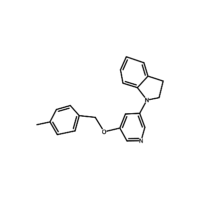 Cc1ccc(COc2cncc(N3CCc4ccccc43)c2)cc1